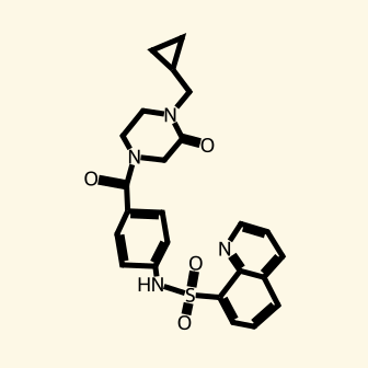 O=C1CN(C(=O)c2ccc(NS(=O)(=O)c3cccc4cccnc34)cc2)CCN1CC1CC1